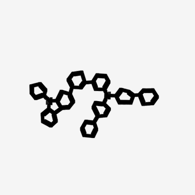 c1ccc(-c2ccc(N(c3ccc(-c4ccccc4)cc3)c3cccc(-c4cccc(-c5ccc6c7ccccc7n(-c7ccccc7)c6c5)c4)c3)cc2)cc1